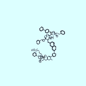 CC1CC(CC(CP(=O)(O)CCc2ccccc2)C(=O)NCCCC(=O)O)=CC=C1c1cccc(-c2ccc3ccc(CC(NC(=O)C(Cc4ccc(-c5ccccc5)cc4)CP(=O)(O)CCc4ccccc4)C(=O)OCc4ccccc4)cc3c2)c1